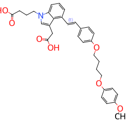 COc1ccc(OCCCCOc2ccc(/C=C/c3cccc4c3c(CC(=O)O)cn4CCCC(=O)O)cc2)cc1